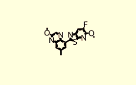 COc1cnc2c(-c3nc4cc(F)c(OC)nc4s3)cc(C)cc2n1